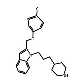 Clc1ccc(OCc2cc3ccccc3n2CCCC2CCNCC2)cc1